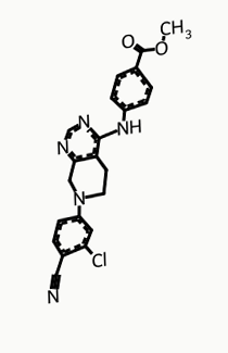 COC(=O)c1ccc(Nc2ncnc3c2CCN(c2ccc(C#N)c(Cl)c2)C3)cc1